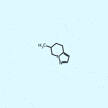 CC1CCc2ccnn2C1